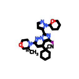 C[C@@H]1COCCN1c1cc(C2(C#N)CCCCC2)c2c(I)nc(-c3ccnn3C3CCCCO3)n2n1